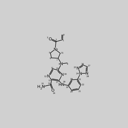 C=CC(=O)N1CCC(N(C)c2cnc(C(N)=O)c(Nc3cccc(-n4nccn4)c3)n2)C1